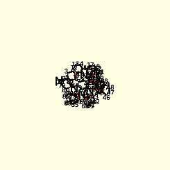 N#Cc1cccc(-c2c(-n3c4ccccc4c4ccccc43)c(-n3c4ccccc4c4ccccc43)c(N3c4ccccc4C4c5ccccc5N(c5ccccc5)C43)c(-n3c4ccccc4c4ccccc43)c2-n2c3ccccc3c3ccccc32)c1